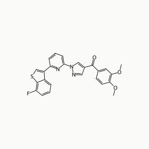 COc1ccc(C(=O)c2cnn(-c3cccc(-c4csc5c(F)cccc45)n3)c2)cc1OC